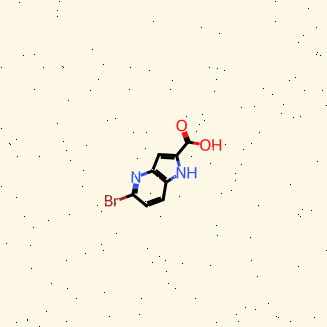 O=C(O)c1cc2nc(Br)ccc2[nH]1